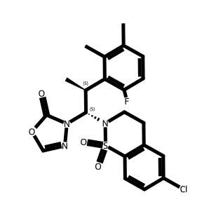 Cc1ccc(F)c([C@H](C)[C@H](N2CCc3cc(Cl)ccc3S2(=O)=O)n2ncoc2=O)c1C